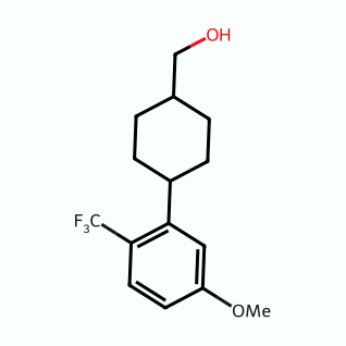 COc1ccc(C(F)(F)F)c(C2CCC(CO)CC2)c1